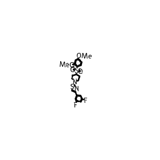 COc1ccc(S(=O)(=O)C2CCN(c3nc(-c4cc(F)cc(F)c4)cs3)CC2)c(OC)c1